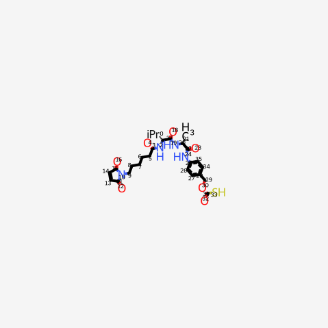 CC(C)[C@@H](NC(=O)CCCCCN1C(=O)C=CC1=O)C(=O)N[C@H](C)C(=O)Nc1ccc(COC(=O)S)cc1